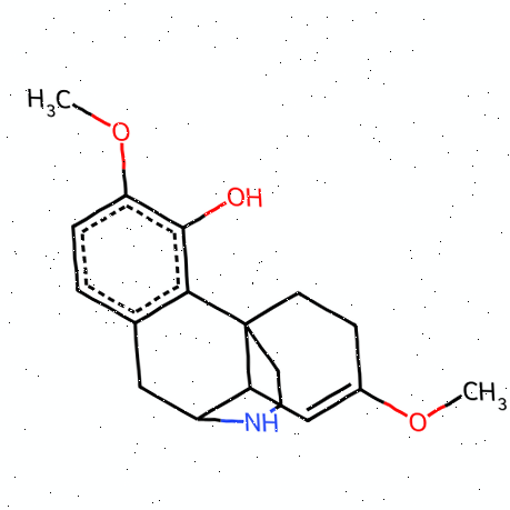 COC1=CC2C3Cc4ccc(OC)c(O)c4C2(CCN3)CC1